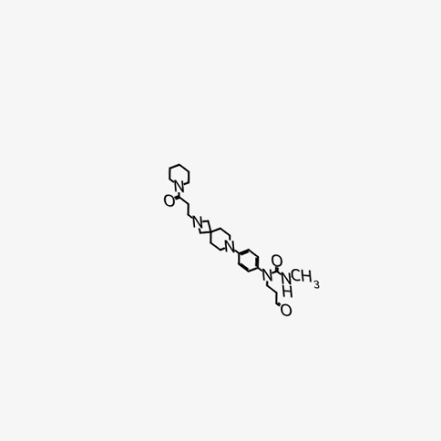 CNC(=O)N(CCC=O)c1ccc(N2CCC3(CC2)CN(CCC(=O)N2CCCCC2)C3)cc1